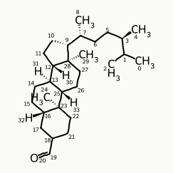 CC(C)[C@H](C)CC[C@@H](C)[C@H]1CC[C@H]2[C@@H]3CC[C@H]4CC(C=O)CC[C@]4(C)[C@H]3CC[C@]12C